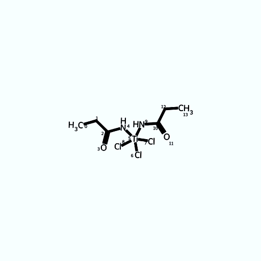 CCC(=O)[NH][Ti]([Cl])([Cl])([Cl])[NH]C(=O)CC